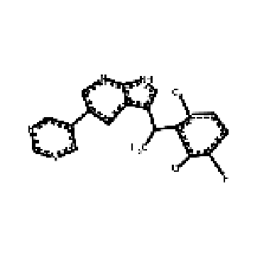 CC(c1c(Cl)ccc(F)c1Cl)c1c[nH]c2ncc(-c3cncnc3)cc12